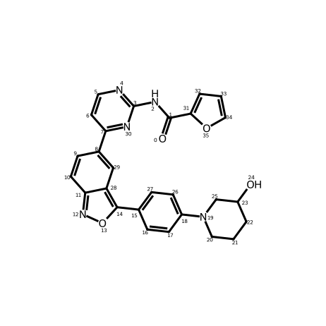 O=C(Nc1nccc(-c2ccc3noc(-c4ccc(N5CCCC(O)C5)cc4)c3c2)n1)c1ccco1